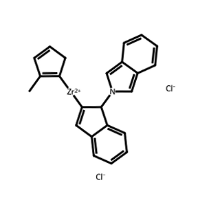 CC1=[C]([Zr+2][C]2=Cc3ccccc3C2n2cc3ccccc3c2)CC=C1.[Cl-].[Cl-]